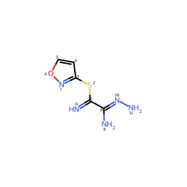 N=C(Sc1ccon1)C(N)=NN